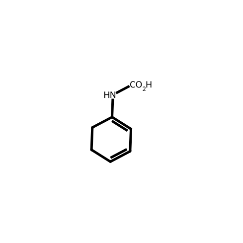 O=C(O)NC1=CC=CCC1